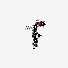 COc1cc(C(=O)N2CC3CCC2[C@@H]3C)cc2nc(-c3cc4ccc(-c5ccc6c(c5)CC(=O)N6C)cc4n3CC3CC3)n(C)c12